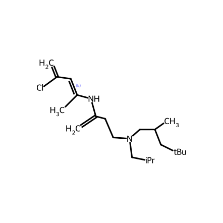 C=C(Cl)/C=C(\C)NC(=C)CCN(CC(C)C)CC(C)CC(C)(C)C